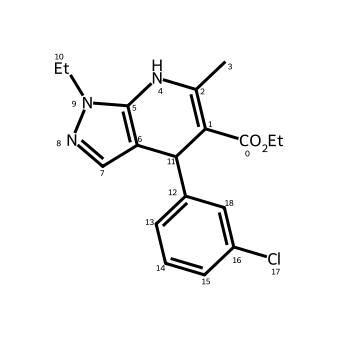 CCOC(=O)C1=C(C)Nc2c(cnn2CC)C1c1cccc(Cl)c1